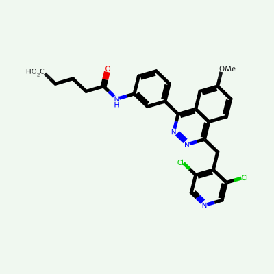 COc1ccc2c(Cc3c(Cl)cncc3Cl)nnc(-c3cccc(NC(=O)CCCC(=O)O)c3)c2c1